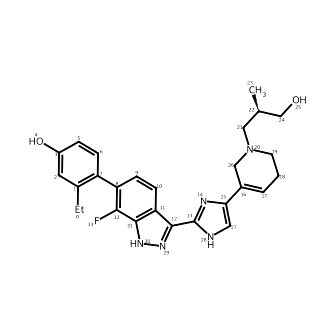 CCc1cc(O)ccc1-c1ccc2c(-c3nc(C4=CCCN(C[C@@H](C)CO)C4)c[nH]3)n[nH]c2c1F